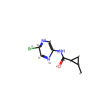 CC1CC1C(=O)Nc1cnc(Br)cn1